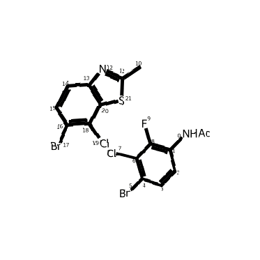 CC(=O)Nc1ccc(Br)c(Cl)c1F.Cc1nc2ccc(Br)c(Cl)c2s1